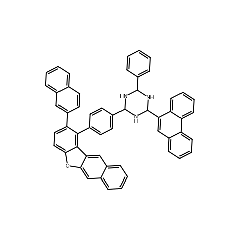 c1ccc(C2NC(c3ccc(-c4c(-c5ccc6ccccc6c5)ccc5oc6cc7ccccc7cc6c45)cc3)NC(c3cc4ccccc4c4ccccc34)N2)cc1